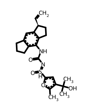 C=C[C@H]1CCc2c1cc1c(c2NC(=O)N=[SH](=O)c2cc(C(C)(C)O)c(C)o2)CCC1